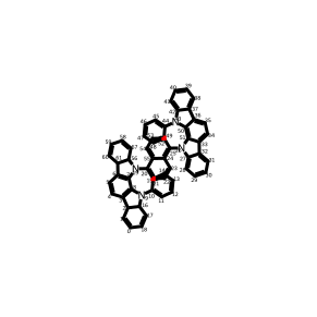 C1=CC2c3ccc4c(c3N(c3ccccc3)C2C=C1)N(c1cccc2c(-n3c5ccccc5c5ccc6c7ccccc7n(-c7ccccc7)c6c53)cccc12)C1C=CC=CC41